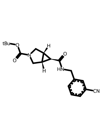 CC(C)(C)OC(=O)N1C[C@@H]2[C@H](C1)[C@H]2C(=O)NCc1cccc(C#N)c1